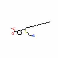 CCCCCCCCC/C=C/C=C/C(Cc1cccc(C(=O)OC)c1)SCCC#N